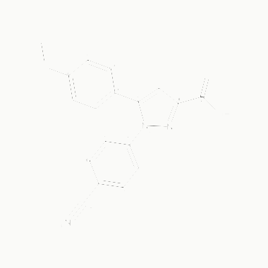 CSc1ccc(-c2cc(C(=O)O)nn2-c2ccc(C#N)cc2)cc1